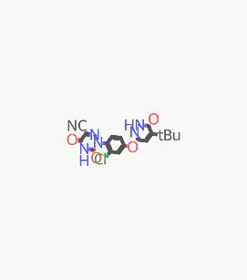 CC(C)(C)c1cc(Oc2ccc(-n3nc(C#N)c(=O)[nH]c3=O)c(Cl)c2)n[nH]c1=O